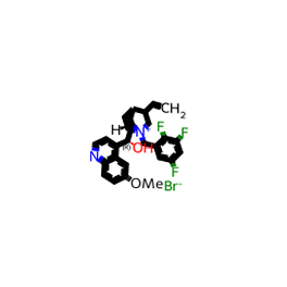 C=CC1C[N+]2(Cc3cc(F)cc(F)c3F)CCC1C[C@H]2[C@H](O)c1ccnc2ccc(OC)cc12.[Br-]